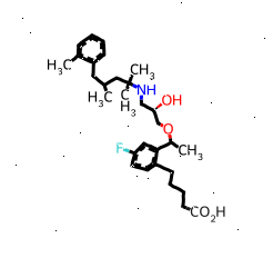 Cc1ccccc1CC(C)CC(C)(C)NC[C@@H](O)COC(C)c1cc(F)ccc1CCCCC(=O)O